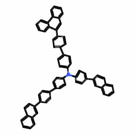 c1ccc2cc(-c3ccc(-c4ccc(N(c5ccc(-c6ccc(-c7cc8ccccc8c8ccccc78)cc6)cc5)c5ccc(-c6ccc7ccccc7c6)cc5)cc4)cc3)ccc2c1